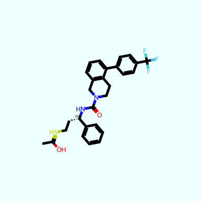 CC(O)=[SH]CC[C@H](NC(=O)N1CCc2c(cccc2-c2ccc(C(F)(F)F)cc2)C1)c1ccccc1